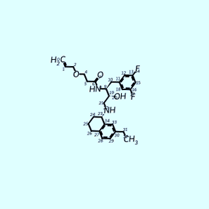 C=CCOCCC(=O)N[C@@H](Cc1cc(F)cc(F)c1)[C@H](O)CN[C@H]1CCCc2ccc(CC)cc21